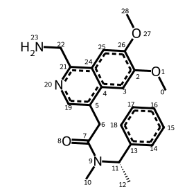 COc1cc2c(CC(=O)N(C)[C@@H](C)c3ccccc3)cnc(CN)c2cc1OC